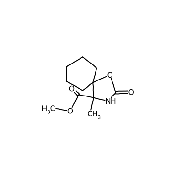 COC(=O)C1(C)NC(=O)OC12CCCCC2